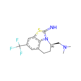 CN(C)C[C@H]1CCc2cc(C(F)(F)F)cc3sc(=N)n1c23